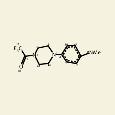 CNc1ccc(N2CCN(C(=O)C(F)(F)F)CC2)cc1